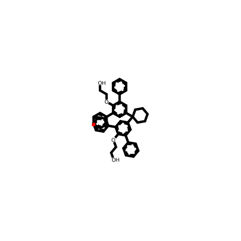 OCCOc1c(-c2ccccc2)cc(C2(c3cc(-c4ccccc4)c(OCCO)c(-c4ccccc4)c3)CCCCC2)cc1-c1ccccc1